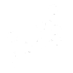 c1ccc(-c2nc(-c3ccc(-n4c5ccccc5c5ccc6c(c7ccccc7n6-c6ccccc6)c54)cc3)nc3c2oc2ccccc23)cc1